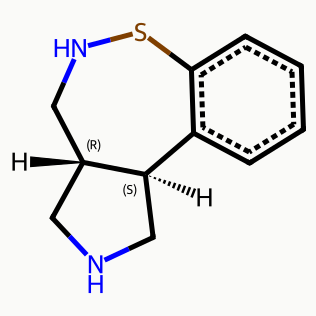 c1ccc2c(c1)SNC[C@H]1CNC[C@H]21